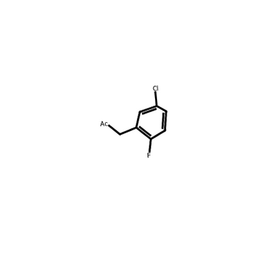 CC(=O)Cc1cc(Cl)ccc1F